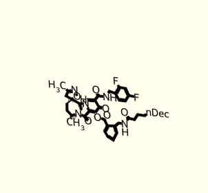 CCCCCCCCCCCCCC(=O)NCc1ccccc1C(=O)Oc1c2n(cc(C(=O)NCc3ccc(F)cc3F)c1=O)[C@@H]1CN(C2=O)[C@@H](C)CC[C@]12CC(C)=NO2